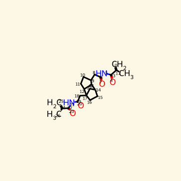 C=C(C)C(=O)NC(=O)CC1CCC2C1C1CCC2(CC(=O)NC(=O)C(=C)C)C1